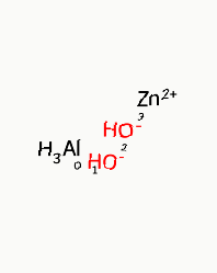 [AlH3].[OH-].[OH-].[Zn+2]